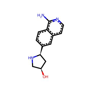 Nc1nccc2cc([C@H]3C[C@@H](O)CN3)ccc12